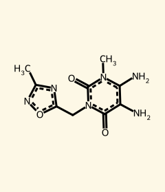 Cc1noc(Cn2c(=O)c(N)c(N)n(C)c2=O)n1